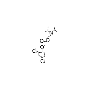 CC(C)N(CCOC(=O)COc1ccc(Cl)cc1Cl)C(C)C